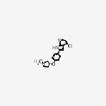 CN1CC[C@H](Oc2ccc(-c3cc4c(Cl)ccnc4[nH]3)cc2)C1